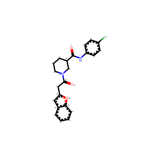 O=C(Nc1ccc(Cl)cc1)C1CCCN(C(=O)Cc2cc3ccccc3o2)C1